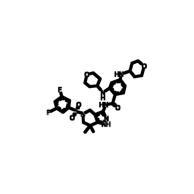 CC1(C)CN(S(=O)(=O)c2cc(F)cc(F)c2)Cc2c(NC(=O)c3ccc(NC4CCOCC4)cc3NC3CCOCC3)n[nH]c21